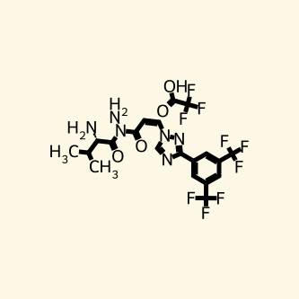 CC(C)[C@H](N)C(=O)N(N)C(=O)/C=C\n1cnc(-c2cc(C(F)(F)F)cc(C(F)(F)F)c2)n1.O=C(O)C(F)(F)F